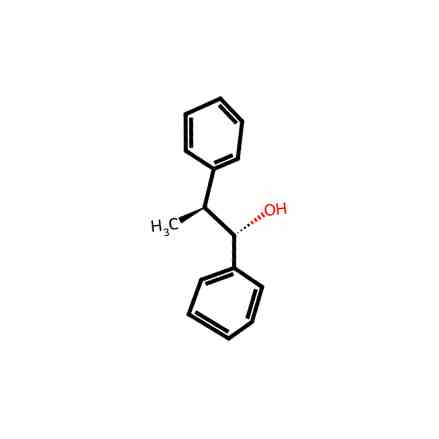 C[C@@H](c1ccccc1)[C@H](O)c1ccccc1